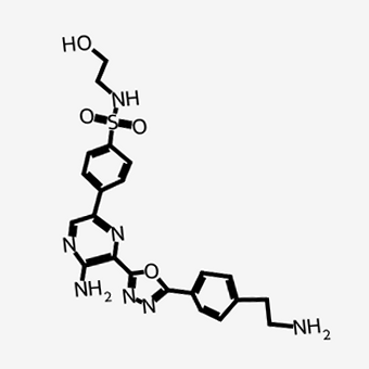 NCCc1ccc(-c2nnc(-c3nc(-c4ccc(S(=O)(=O)NCCO)cc4)cnc3N)o2)cc1